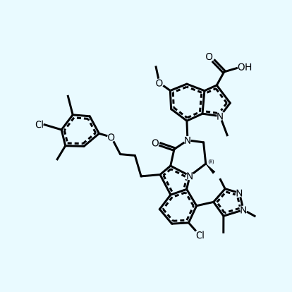 COc1cc(N2C[C@@H](C)n3c(c(CCCOc4cc(C)c(Cl)c(C)c4)c4ccc(Cl)c(-c5c(C)nn(C)c5C)c43)C2=O)c2c(c1)c(C(=O)O)cn2C